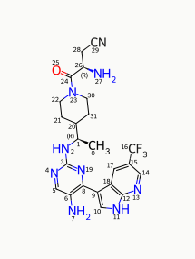 C[C@@H](Nc1ncc(N)c(-c2c[nH]c3ncc(C(F)(F)F)cc23)n1)C1CCN(C(=O)[C@H](N)CC#N)CC1